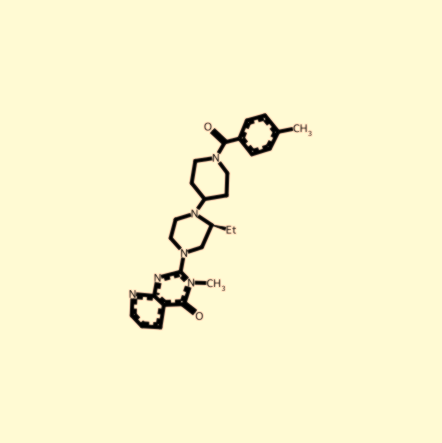 CC[C@H]1CN(c2nc3ncccc3c(=O)n2C)CCN1C1CCN(C(=O)c2ccc(C)cc2)CC1